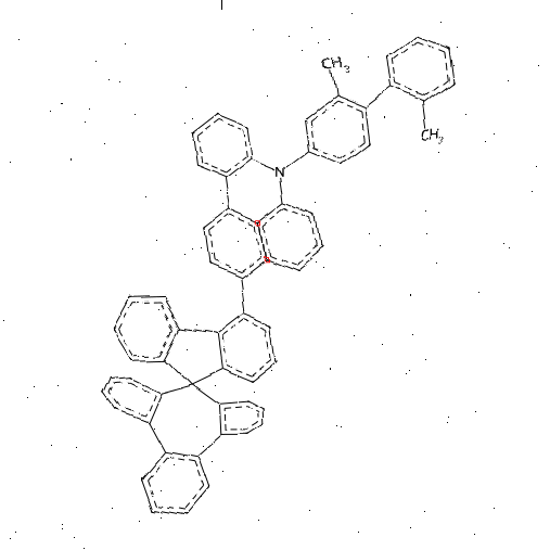 Cc1ccccc1-c1ccc(N(c2ccccc2)c2ccccc2-c2ccc(-c3cccc4c3-c3ccccc3C43c4ccccc4-c4ccccc4-c4ccccc43)cc2)cc1C